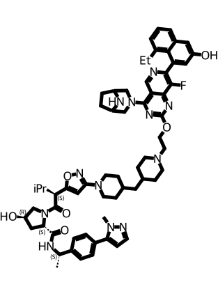 CCc1cccc2cc(O)cc(-c3ncc4c(N5CC6CCC(C5)N6)nc(OCCN5CCC(CC6CCN(c7cc([C@@H](C(=O)N8C[C@H](O)C[C@H]8C(=O)N[C@@H](C)c8ccc(-c9ccnn9C)cc8)C(C)C)on7)CC6)CC5)nc4c3F)c12